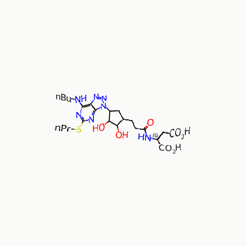 CCCCNc1nc(SCCC)nc2c1nnn2C1CC(CCC(=O)N[C@@H](CC(=O)O)C(=O)O)C(O)C1O